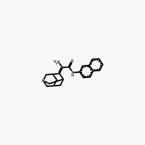 BC(C(=O)Nc1ccc2ccccc2c1)=C1C2CC3CC1CN(C3)C2